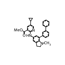 COC(=O)c1cc(C2CC2)cnc1Nc1cc2c(c(-c3cccc(-c4ccccc4)c3)c1)N(C)CC2